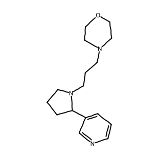 c1cncc(C2CCCN2CCCN2CCOCC2)c1